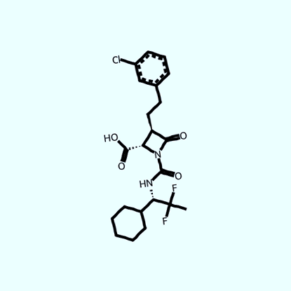 CC(F)(F)[C@@H](NC(=O)N1C(=O)[C@H](CCc2cccc(Cl)c2)[C@H]1C(=O)O)C1CCCCC1